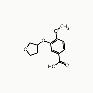 COc1ccc(C(=O)O)cc1OC1CCOC1